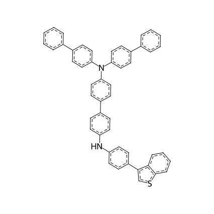 c1ccc(-c2ccc(N(c3ccc(-c4ccccc4)cc3)c3ccc(-c4ccc(Nc5ccc(-c6csc7ccccc67)cc5)cc4)cc3)cc2)cc1